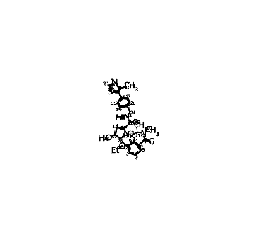 CCOc1cccc(C(=O)N(C)[C@@H](C)C(=O)N2C[C@H](O)C[C@H]2C(=O)NCc2ccc(-c3scnc3C)cc2)c1